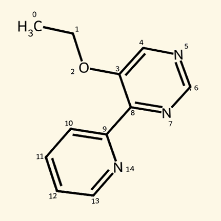 CCOc1cn[c]nc1-c1ccccn1